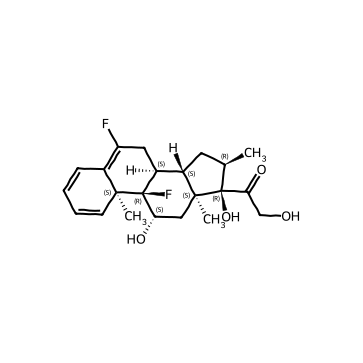 C[C@@H]1C[C@H]2[C@@H]3CC(F)=C4C=CC=C[C@]4(C)[C@@]3(F)[C@@H](O)C[C@]2(C)[C@@]1(O)C(=O)CO